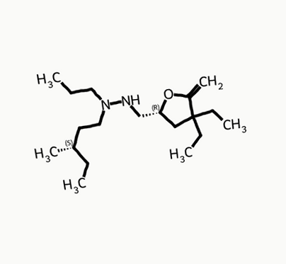 C=C1O[C@@H](CNN(CCC)CC[C@@H](C)CC)CC1(CC)CC